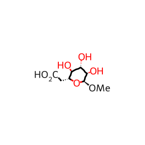 CO[C@H]1O[C@H](CC(=O)O)[C@@H](O)[C@H](O)[C@@H]1O